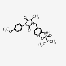 CC1C(=O)N(c2ccc(OC(F)(F)F)cc2)C(=O)N1Cc1ccnc(NS(=O)(=O)N(C)C)c1